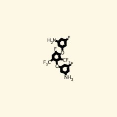 Nc1cc(F)cc(Oc2c(F)cc(C(F)(F)F)c(Oc3cc(N)cc(F)c3)c2C(F)(F)F)c1